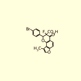 Cc1coc2ccc3c(c12)OC(c1ccc(Br)cc1)C(F)(C(=O)O)C3=O